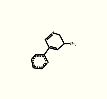 NC1C=C(c2ccccn2)C=NC1